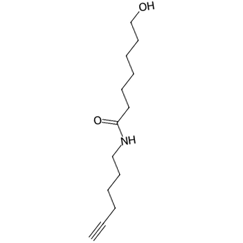 C#CCCCCNC(=O)CCCCCCO